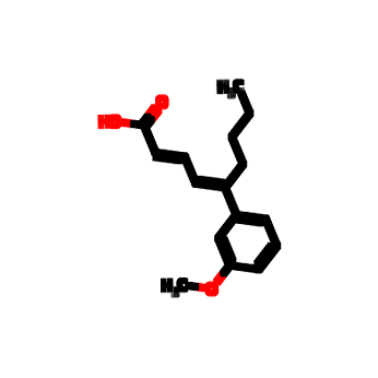 CCCCC(=CC=CC(=O)O)c1cccc(OC)c1